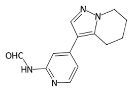 O=CNc1cc(-c2cnn3c2CCCC3)ccn1